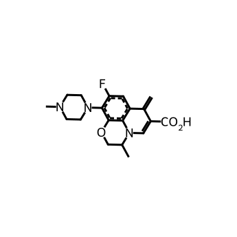 C=C1C(C(=O)O)=CN2c3c1cc(F)c(N1CCN(C)CC1)c3OCC2C